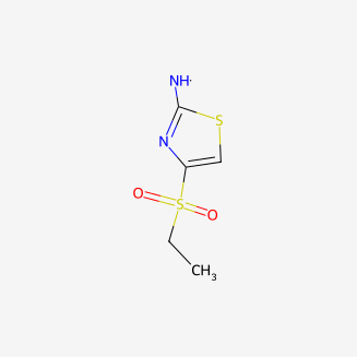 CCS(=O)(=O)c1csc([NH])n1